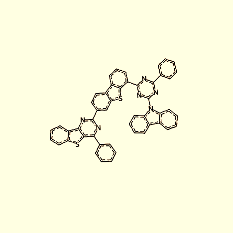 c1ccc(-c2nc(-c3cccc4c3sc3cc(-c5nc(-c6ccccc6)c6sc7ccccc7c6n5)ccc34)nc(-n3c4ccccc4c4ccccc43)n2)cc1